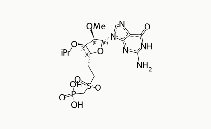 CO[C@@H]1[C@H](OC(C)C)[C@@H](CCS(=O)(=O)CP(=O)(O)O)O[C@H]1n1cnc2c(=O)[nH]c(N)nc21